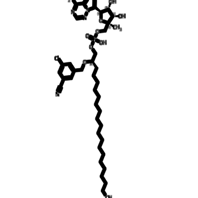 CCCCCCCCCCCCCCCCCCC[C@H](COP(=O)(O)OC[C@@]1(C)O[C@@H](c2ccc3c(N)ncnn23)[C@H](O)[C@@H]1O)OCc1cc(Cl)cc(C#N)c1